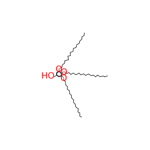 CCCCCCCCCCCCCCCCCCOc1cc(CO)cc(OCCCCCCCCCCCCCCCCCC)c1OCCCCCCCCCCCCCCCCCC